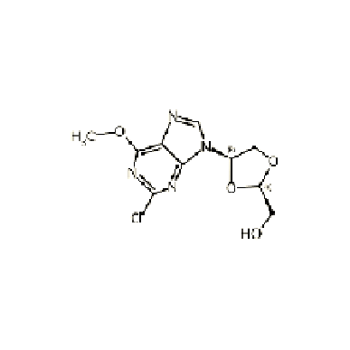 COc1nc(Cl)nc2c1ncn2[C@H]1CO[C@@H](CO)O1